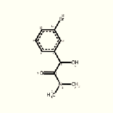 CN(C)C(=O)C(O)c1cccc(Br)c1